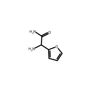 NC(=O)C(N)c1ccco1